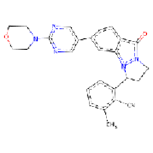 Cc1cccc(C2CCn3c(=O)c4ccc(-c5cnc(N6CCOCC6)nc5)cc4n32)c1C#N